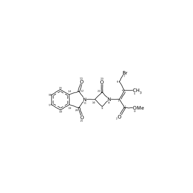 COC(=O)C(=C(C)CBr)N1CC(N2C(=O)c3ccccc3C2=O)C1=O